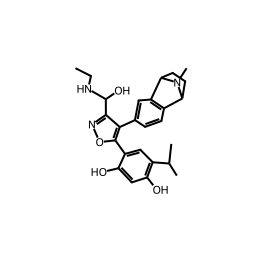 CCNC(O)c1noc(-c2cc(C(C)C)c(O)cc2O)c1-c1ccc2c(c1)C1CCC2N1C